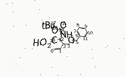 C=CC(COCc1ccccc1)C(NC(=O)OC(C)(C)C)C(=O)O